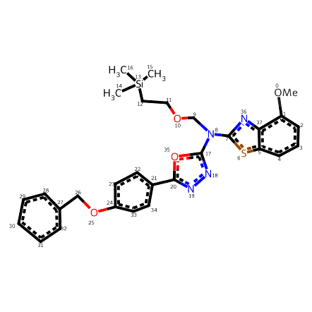 COc1cccc2sc(N(COCC[Si](C)(C)C)c3nnc(-c4ccc(OCc5ccccc5)cc4)o3)nc12